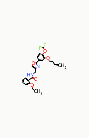 C=CCCOc1cc(-c2nc(CNC(=O)c3ccccc3OCC)co2)ccc1OC(F)F